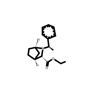 CCOC(=O)[C@@H]1[C@H]2CC[C@H](C2)N1[C@H](C)c1ccccc1